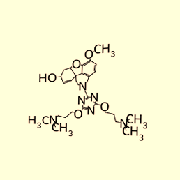 COc1ccc2c3c1OC1CC(O)C=CC31CCN(c1nc(OCCCN(C)C)nc(OCCCN(C)C)n1)C2